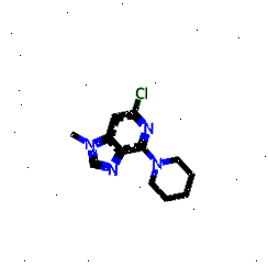 Cn1cnc2c(N3CCCCC3)nc(Cl)cc21